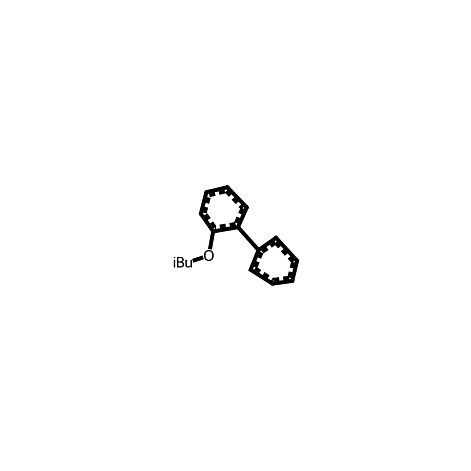 [CH2]CC(C)Oc1ccccc1-c1ccccc1